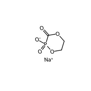 O=C1OCCOP1(=O)[O-].[Na+]